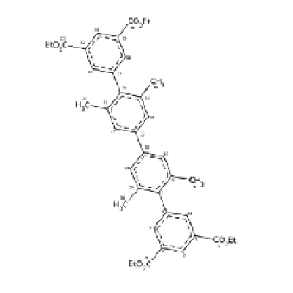 CCOC(=O)c1cc(C(=O)OCC)cc(-c2c(C)cc(-c3cc(C)c(-c4cc(C(=O)OCC)cc(C(=O)OCC)c4)c(C)c3)cc2C)c1